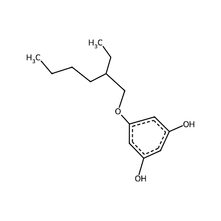 CCCCC(CC)COc1cc(O)cc(O)c1